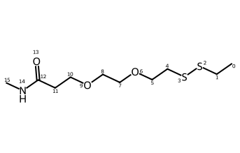 CCSSCCOCCOCCC(=O)NC